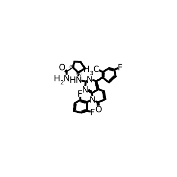 Cc1cc(F)ccc1-c1nc(N[C@@H]2CCC[C@@H]2C(N)=O)nc2c1ccc(=O)n2-c1c(F)cccc1F